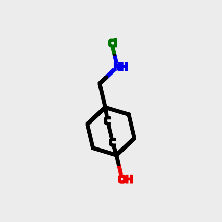 OC12CCC(CNCl)(CC1)CC2